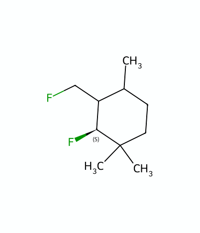 CC1CCC(C)(C)[C@@H](F)C1CF